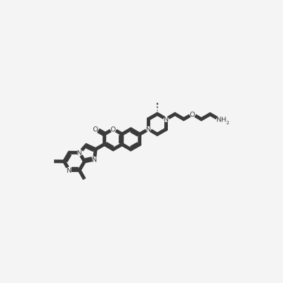 Cc1cn2cc(-c3cc4ccc(N5CCN(CCOCCN)[C@@H](C)C5)cc4oc3=O)nc2c(C)n1